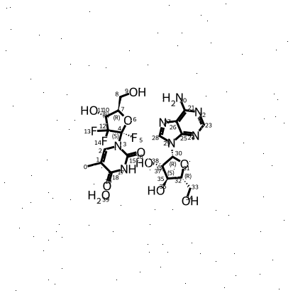 Cc1cn([C@]2(F)O[C@H](CO)[C@@H](O)C2(F)F)c(=O)[nH]c1=O.Nc1ncnc2c1ncn2[C@@H]1O[C@H](CO)[C@@H](O)[C@@H]1O.O